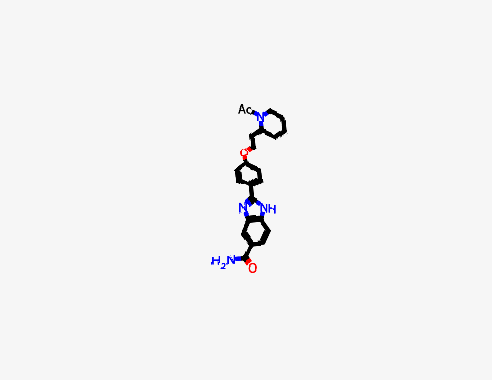 CC(=O)N1CCCCC1CCOc1ccc(-c2nc3cc(C(N)=O)ccc3[nH]2)cc1